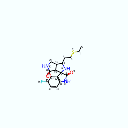 CCSCCC1NC2(C(=O)NC3=C2C(=O)C(F)C=C3)C2C(=O)NCC12